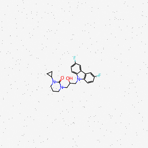 O=C1N(CC(O)Cn2c3ccc(F)cc3c3cc(F)ccc32)CCCN1C1CC1